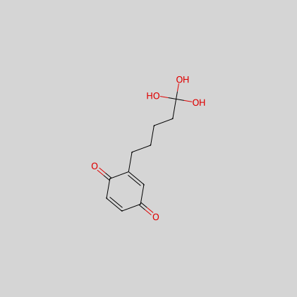 O=C1C=CC(=O)C(CCCCC(O)(O)O)=C1